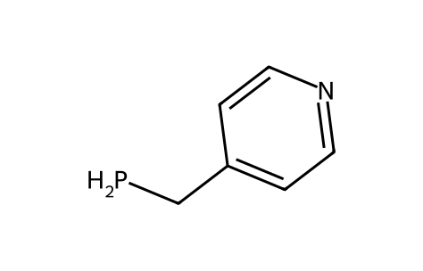 PCc1ccncc1